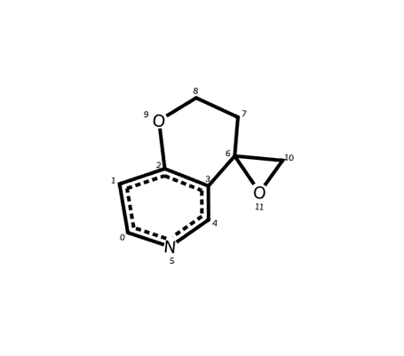 c1cc2c(cn1)C1(CCO2)CO1